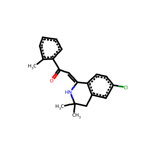 Cc1ccccc1C(=O)/C=C1\NC(C)(C)Cc2cc(Cl)ccc21